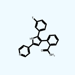 NC(=O)c1ccccc1-c1cc(-c2ccncc2)[nH]c1-c1cccc(F)c1